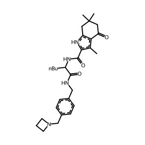 CCCCC(NC(=O)c1[nH]c2c(c1C)C(=O)CC(C)(C)C2)C(=O)NCc1ccc(CN2CCC2)cc1